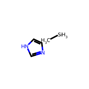 C[SiH3].c1c[nH]cn1